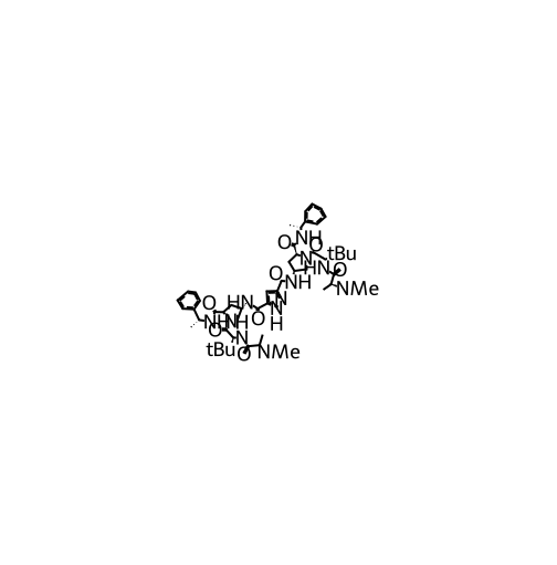 CN[C@@H](C)C(=O)N[C@H](C(=O)N1C[C@@H](NC(=O)c2cc(C(=O)N[C@H]3C[C@@H](C(=O)N[C@H](C)c4ccccc4)N(C(=O)[C@@H](NC(=O)[C@H](C)NC)C(C)(C)C)C3)n[nH]2)CC1C(=O)N[C@H](C)c1ccccc1)C(C)(C)C